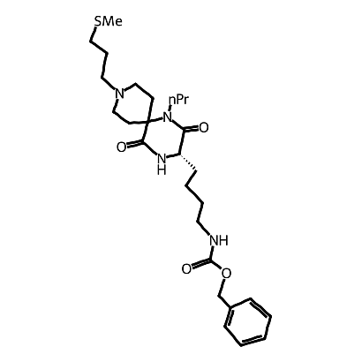 CCCN1C(=O)[C@H](CCCCNC(=O)OCc2ccccc2)NC(=O)C12CCN(CCCSC)CC2